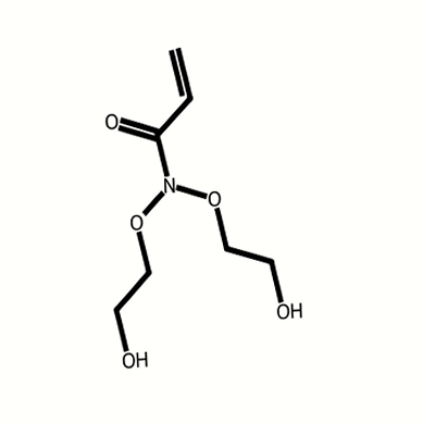 C=CC(=O)N(OCCO)OCCO